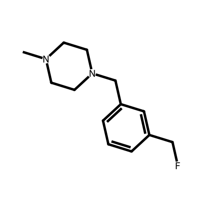 CN1CCN(Cc2cccc(CF)c2)CC1